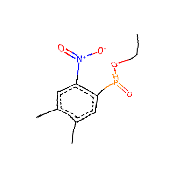 CCO[PH](=O)c1cc(C)c(C)cc1[N+](=O)[O-]